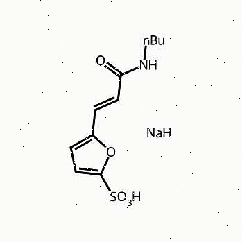 CCCCNC(=O)C=Cc1ccc(S(=O)(=O)O)o1.[NaH]